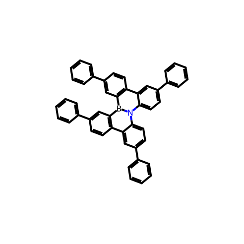 c1ccc(-c2ccc3c(c2)B2c4cc(-c5ccccc5)ccc4-c4cc(-c5ccccc5)ccc4N2c2ccc(-c4ccccc4)cc2-3)cc1